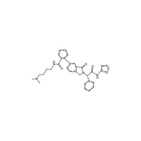 CN(C)CCCCNC(=O)c1ccccc1-c1ccc2c(c1)C(=O)N(C(C(=O)Nc1nccs1)c1ccccc1)C2